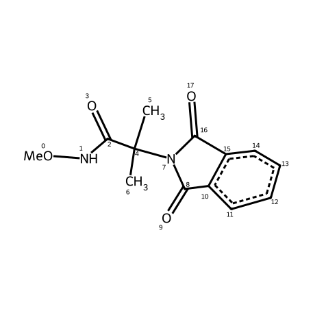 CONC(=O)C(C)(C)N1C(=O)c2ccccc2C1=O